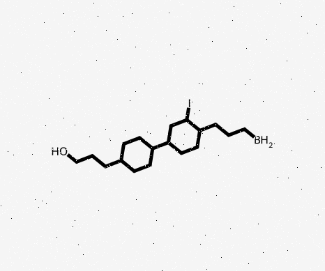 BCCCC1CCC(C2CCC(CCCO)CC2)CC1I